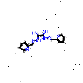 N=C(N/N=C/c1ccccn1)C(=N)N/N=C/c1ccccn1